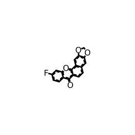 O=c1c2ccc(F)cc2oc2c1ccc1cc3c(cc12)OCO3